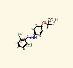 CC(C)(Oc1ccc(NCc2c(F)cccc2Cl)cc1)C(=O)O